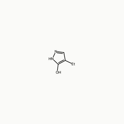 [CH2]Cc1cn[nH]c1O